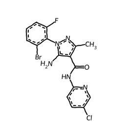 Cc1nn(-c2c(F)cccc2Br)c(N)c1C(=O)Nc1ccc(Cl)cn1